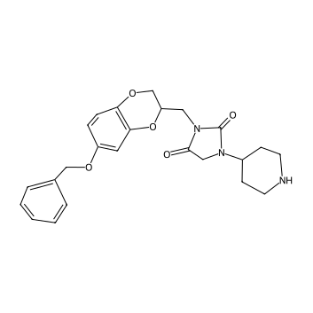 O=C1CN(C2CCNCC2)C(=O)N1CC1COc2ccc(OCc3ccccc3)cc2O1